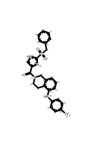 O=C(c1c[nH]c(S(=O)(=O)Cc2ccccc2)n1)N1CCc2c(cccc2Nc2ccc(C(F)(F)F)cc2)C1